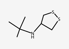 CC(C)(C)NC1CSSC1